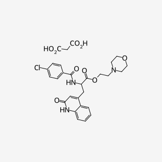 O=C(NC(Cc1cc(=O)[nH]c2ccccc12)C(=O)OCCN1CCOCC1)c1ccc(Cl)cc1.O=C(O)CC(=O)O